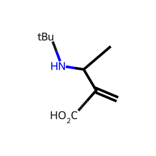 C=C(C(=O)O)C(C)NC(C)(C)C